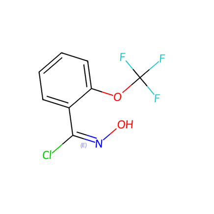 O/N=C(/Cl)c1ccccc1OC(F)(F)F